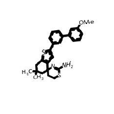 COc1cccc(-c2cccc(-c3cc4c(s3)CC(C)(C)CC43CCSC(N)=N3)c2)c1